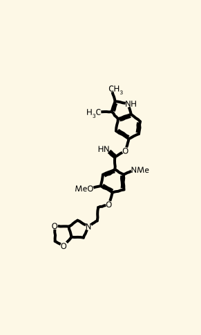 CNc1cc(OCCN2CC3OCOC3C2)c(OC)cc1C(=N)Oc1ccc2[nH]c(C)c(C)c2c1